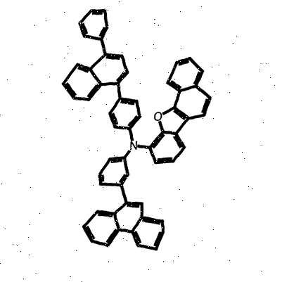 c1ccc(-c2ccc(-c3ccc(N(c4cccc(-c5cc6ccccc6c6ccccc56)c4)c4cccc5c4oc4c6ccccc6ccc54)cc3)c3ccccc23)cc1